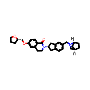 O=C1c2ccc(OC[C@@H]3CCCO3)cc2CCN1[C@@H]1Cc2ccc(CN3C[C@@H]4CC[C@H]3C4)cc2C1